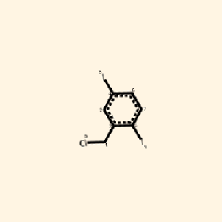 ClCc1cc(I)ccc1I